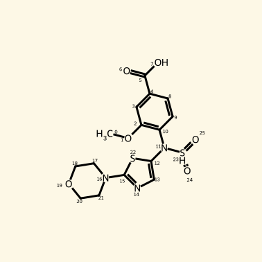 COc1cc(C(=O)O)ccc1N(c1cnc(N2CCOCC2)s1)[SH](=O)=O